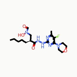 CCCCC[C@@H](CN(O)C=O)C(=O)NNc1nc(C)c(F)c(N2CCOCC2)n1